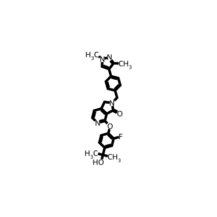 Cc1nn(C)cc1-c1ccc(CN2Cc3ccnc(Oc4ccc(C(C)(C)O)cc4F)c3C2=O)cc1